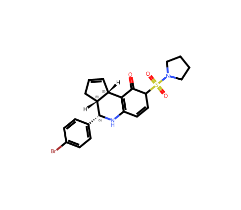 O=C1C2=C(C=CC1S(=O)(=O)N1CCCC1)N[C@H](c1ccc(Br)cc1)[C@@H]1CC=C[C@H]21